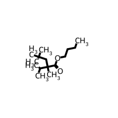 CCCCOC(=O)C(C)(CC(C)(C)C)C(C)C